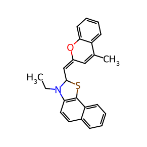 CCN1c2ccc3ccccc3c2SC1C=C1C=C(C)c2ccccc2O1